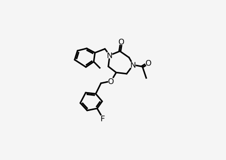 CC(=O)N1CC(=O)N(Cc2ccccc2C)CC(OCc2cccc(F)c2)C1